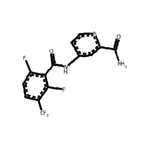 NC(=O)c1cc(NC(=O)c2c(F)ccc(C(F)(F)F)c2F)ccn1